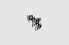 CNc1nc(Nc2cc(OC(F)F)c(C3CN(C=O)CCO3)cc2Cl)ncc1C(F)(F)F